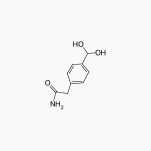 NC(=O)Cc1ccc(C(O)O)cc1